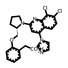 O=C(O)Cc1ccccc1OC[C@@H]1CCCN1c1cc(-n2ccnc2)c2ccc(Cl)c(Cl)c2n1